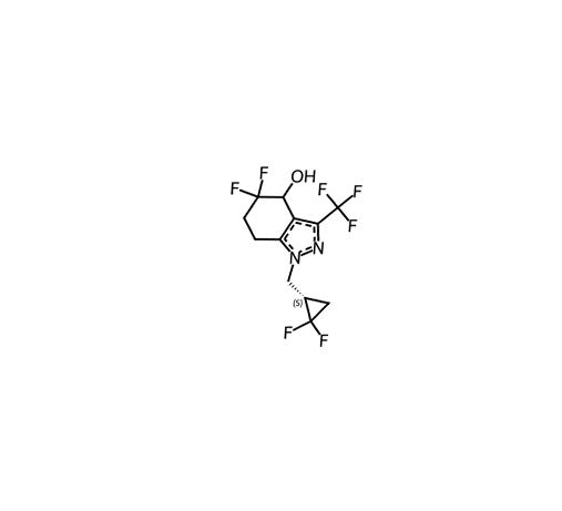 OC1c2c(C(F)(F)F)nn(C[C@@H]3CC3(F)F)c2CCC1(F)F